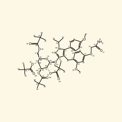 COc1ccc(-c2c(Cc3ccc(OCC(N)=O)cc3OC)c(O[C@@H]3O[C@H](COC(=O)C(C)(C)C)[C@@H](OC(=O)C(C)(C)C)[C@H](OC(=O)C(C)(C)C)[C@H]3OC(=O)C(C)(C)C)nn2C(C)C)cc1